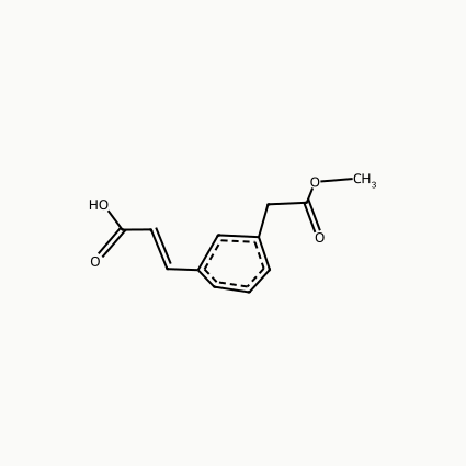 COC(=O)Cc1cccc(C=CC(=O)O)c1